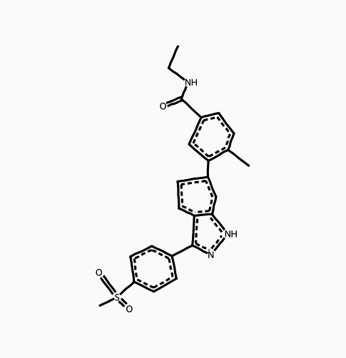 CCNC(=O)c1ccc(C)c(-c2ccc3c(-c4ccc(S(C)(=O)=O)cc4)n[nH]c3c2)c1